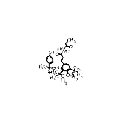 CC(C)(C)c1ccc(O)cc1.CCC(=O)NNC(=O)CCc1cc(C(C)(C)C)c(O)c(C(C)(C)C)c1